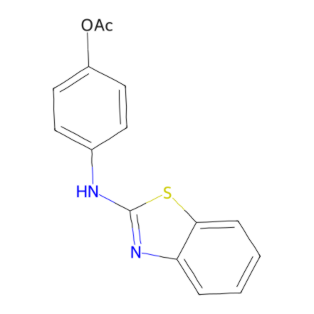 CC(=O)Oc1ccc(Nc2nc3ccccc3s2)cc1